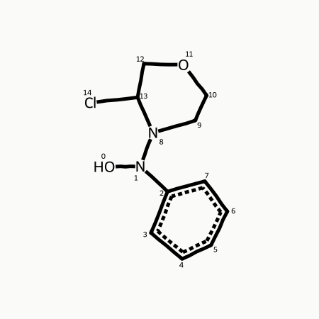 ON(c1ccccc1)N1CCOCC1Cl